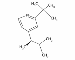 CC(C)[C@@H](C)c1ccnc(C(C)(C)C)c1